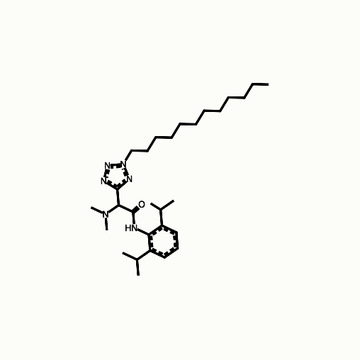 CCCCCCCCCCCCn1nnc(C(C(=O)Nc2c(C(C)C)cccc2C(C)C)N(C)C)n1